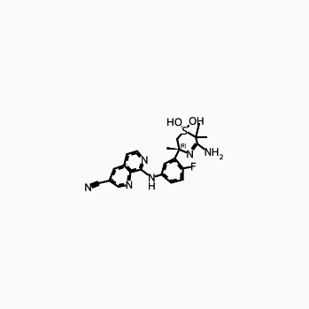 CC1(C)C(N)=N[C@](C)(c2cc(Nc3nccc4cc(C#N)cnc34)ccc2F)CS1(O)O